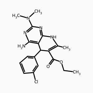 CCOC(=O)C1=C(C)Nc2nc(N(C)C)nc(N)c2C1c1cccc(Cl)c1